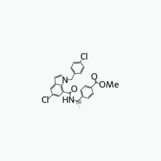 COC(=O)c1ccc([C@H](C)NC(=O)c2cc(Cl)cc3ccn(Cc4ccc(Cl)cc4)c23)cc1